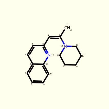 CC(=Cc1ccc2ccccc2n1)N1CCCCC1